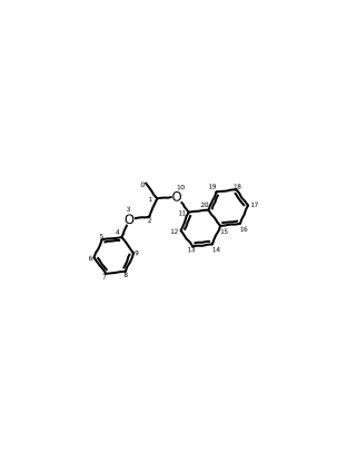 CC(COc1ccccc1)Oc1cccc2ccccc12